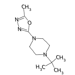 Cc1nnc(N2CCN(C(C)(C)C)CC2)o1